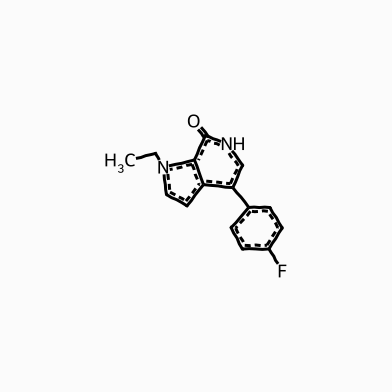 CCn1ccc2c(-c3ccc(F)cc3)c[nH]c(=O)c21